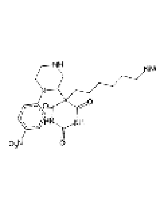 CNCCCCCCC1(C2CNCCN2c2ccc([N+](=O)[O-])cc2)C(=O)NC(=O)NC1=O